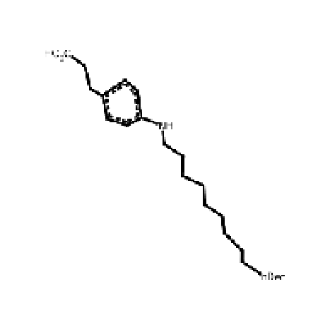 CCCCCCCCCCCCCCCCCCCNc1ccc(CCC(=O)O)cc1